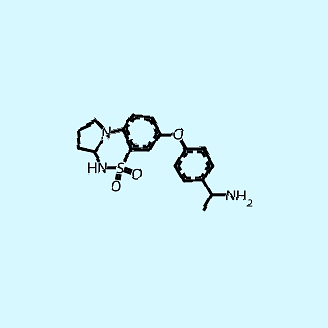 CC(N)c1ccc(Oc2ccc3c(c2)S(=O)(=O)NC2CCCN32)cc1